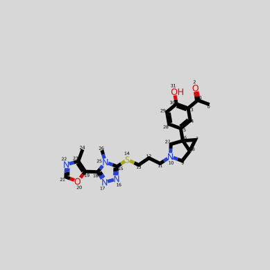 CC(=O)c1cc(C23CC2CN(CCCSc2nnc(-c4ocnc4C)n2C)C3)ccc1O